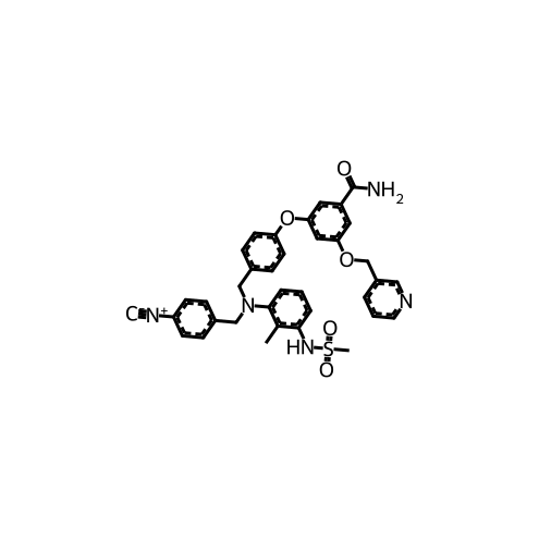 [C-]#[N+]c1ccc(CN(Cc2ccc(Oc3cc(OCc4cccnc4)cc(C(N)=O)c3)cc2)c2cccc(NS(C)(=O)=O)c2C)cc1